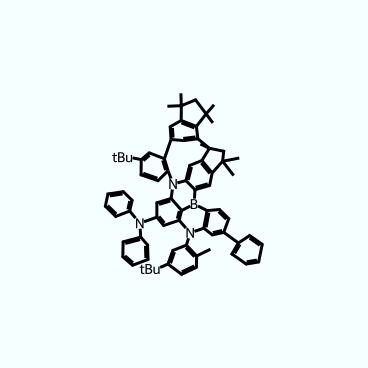 Cc1ccc(C(C)(C)C)cc1N1c2cc(-c3ccccc3)ccc2B2c3cc4c5cc3N(c3ccc(C(C)(C)C)cc3-c3cc6c(c(c3)C5(C)CC4(C)C)C(C)(C)CC6(C)C)c3cc(N(c4ccccc4)c4ccccc4)cc1c32